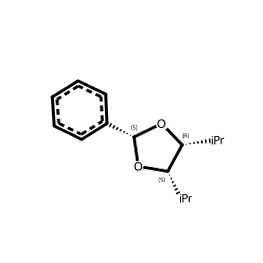 CC(C)[C@H]1O[C@@H](c2ccccc2)O[C@H]1C(C)C